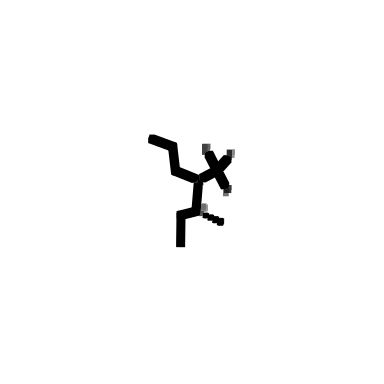 CCCN([C@H](C)CC)C(F)(F)F